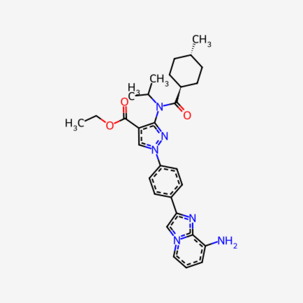 CCOC(=O)c1cn(-c2ccc(-c3cn4cccc(N)c4n3)cc2)nc1N(C(=O)[C@H]1CC[C@H](C)CC1)C(C)C